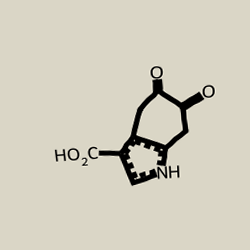 O=C1Cc2[nH]cc(C(=O)O)c2CC1=O